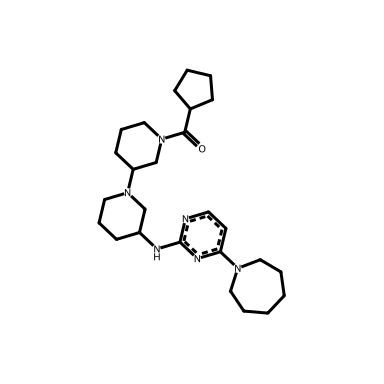 O=C(C1CCCC1)N1CCCC(N2CCCC(Nc3nccc(N4CCCCCC4)n3)C2)C1